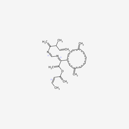 C=CC(C)C(=C)/N=C\N=C(/C(=C)OC(=C)/C=C\C)c1ccc(=C)ccccc(=C)c1